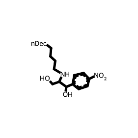 CCCCCCCCCCCCCCNC(CO)C(O)c1ccc([N+](=O)[O-])cc1